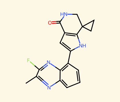 Cc1nc2cccc(-c3cc4c([nH]3)C3(CC3)CNC4=O)c2nc1F